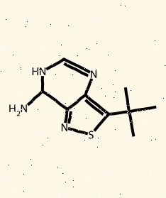 CC(C)(C)c1snc2c1N=CNC2N